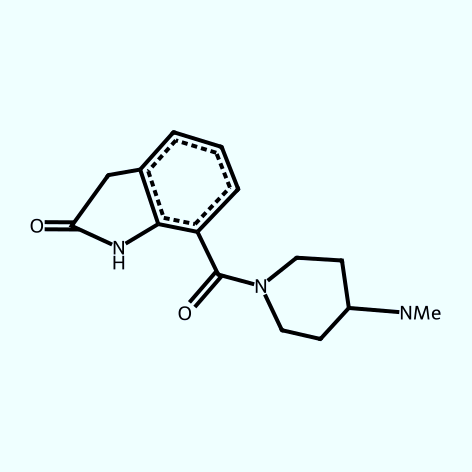 CNC1CCN(C(=O)c2cccc3c2NC(=O)C3)CC1